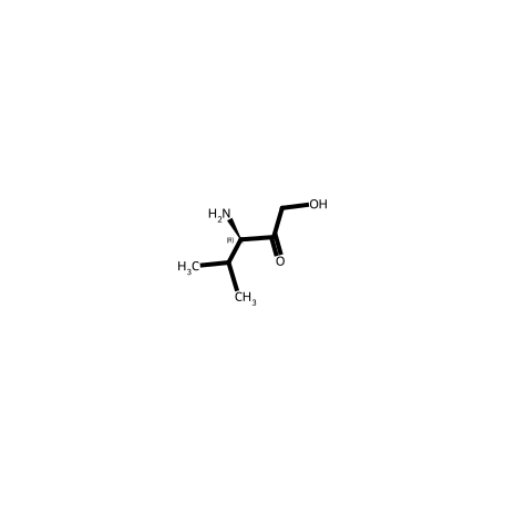 CC(C)[C@@H](N)C(=O)CO